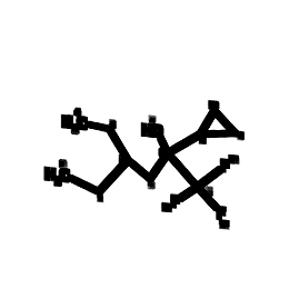 CCC(CC)CC(O)(C1CC1)C(F)(F)F